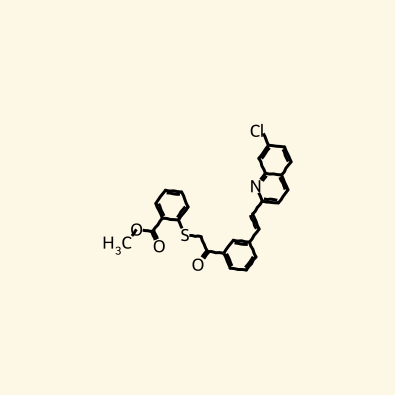 COC(=O)c1ccccc1SCC(=O)c1cccc(/C=C/c2ccc3ccc(Cl)cc3n2)c1